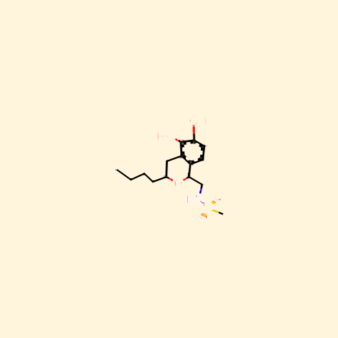 CCCCC1Cc2c(ccc(O)c2O)C(CNS(C)(=O)=O)O1